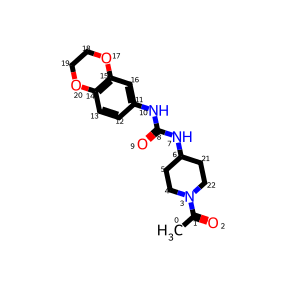 CC(=O)N1CCC(NC(=O)Nc2ccc3c(c2)OCCO3)CC1